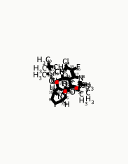 CSc1nc(N2C[C@H]3CC[C@@H](C2CO[Si](C)(C)C(C)(C)C)N3C(=O)OC(C)(C)C)c2c(Cl)nc(Cl)c(F)c2n1